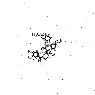 Cc1nc2c(CNC(=O)c3c4n(c(=O)n3-c3ccc(OCC(F)(F)F)cc3)CCN(C(=O)c3ccc(Br)c(Cl)c3)C4)cccc2o1